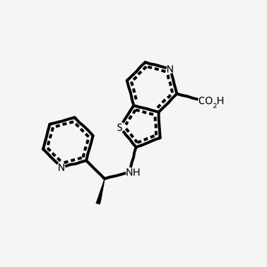 C[C@H](Nc1cc2c(C(=O)O)nccc2s1)c1ccccn1